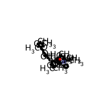 CC1=C(C)C(=O)C(CCCOC(=O)NCCC[C@H](NC(=O)[C@@H]2CCCN2C(=O)[C@H](/C=C/[C@H](CC(C)C)NC(=O)OC(C)(C)C)Cc2ccccc2)C(=O)NC(C)C)=C(C)C1=O